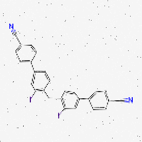 N#Cc1ccc(-c2ccc(Cc3ccc(-c4ccc(C#N)cc4)cc3I)c(I)c2)cc1